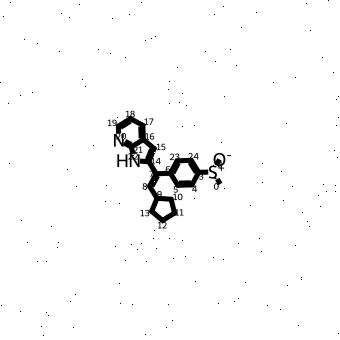 C[S+]([O-])c1ccc(/C(=C\C2CCCC2)c2cc3cccnc3[nH]2)cc1